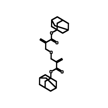 C=C(COCC(=C)C(=O)OC12CC3CC(CC(C3)C1)C2)C(=O)OC12CC3CC(CC(C3)C1)C2